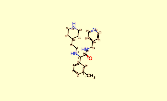 Cc1cccc(C(NCCC2CCNCC2)C(=O)NCc2ccncc2)c1